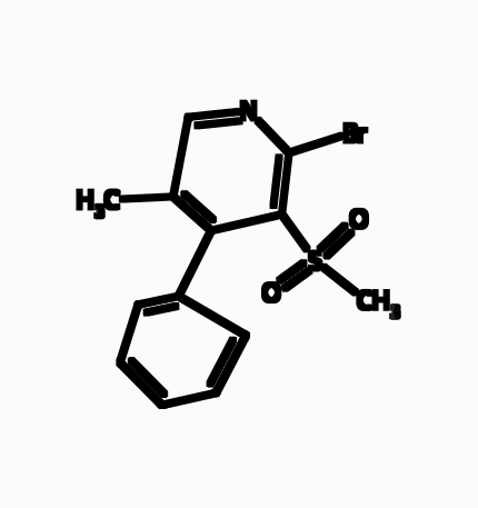 Cc1cnc(Br)c(S(C)(=O)=O)c1-c1ccccc1